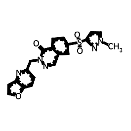 Cn1ccc(S(=O)(=O)c2ccc3c(=O)n(Cc4ccc5occc5n4)ncc3c2)n1